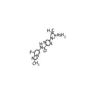 Cc1cn2cc(NC(=O)c3cnc(N4C[C@@H](C)[C@H]([AsH2])C4)cn3)cc(F)c2n1